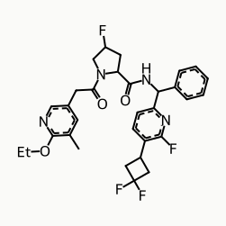 CCOc1ncc(CC(=O)N2CC(F)CC2C(=O)NC(c2ccccc2)c2ccc(C3CC(F)(F)C3)c(F)n2)cc1C